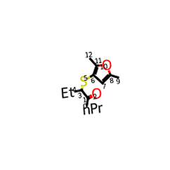 CCCC(=O)C(CC)Sc1cc(C)oc1C